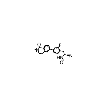 CN1CCc2cc(-c3ccc(C[C@@H](C#N)NC=O)c(F)c3)ccc2C1=O